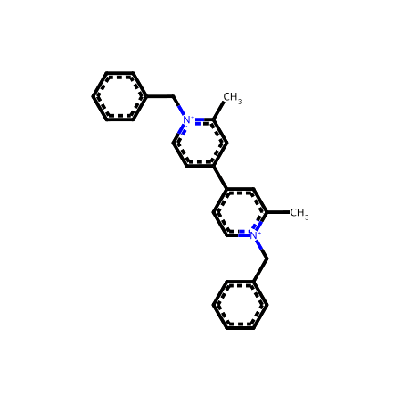 Cc1cc(-c2cc[n+](Cc3ccccc3)c(C)c2)cc[n+]1Cc1ccccc1